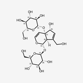 OCC1=C[C@@H](O)[C@]2(O[C@@H]3O[C@H](CO)[C@@H](O)[C@H](O)[C@H]3O)C=CO[C@@H](O[C@@H]3O[C@H](CO)[C@@H](O)[C@H](O)[C@H]3O)[C@H]12